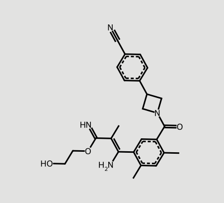 C/C(C(=N)OCCO)=C(/N)c1cc(C(=O)N2CC(c3ccc(C#N)cc3)C2)c(C)cc1C